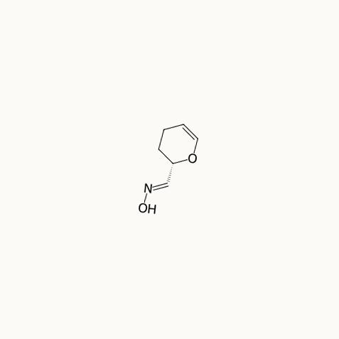 ON=C[C@@H]1CCC=CO1